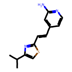 CC(C)c1csc(C=Cc2ccnc(N)c2)n1